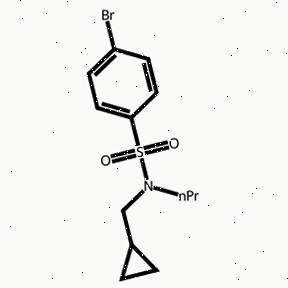 CCCN(CC1CC1)S(=O)(=O)c1ccc(Br)cc1